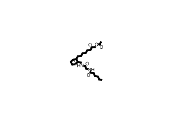 CCCCCC(=O)NCC(=O)NCC1C2CCC(O2)C1CCCCCCC(=O)COC(C)=O